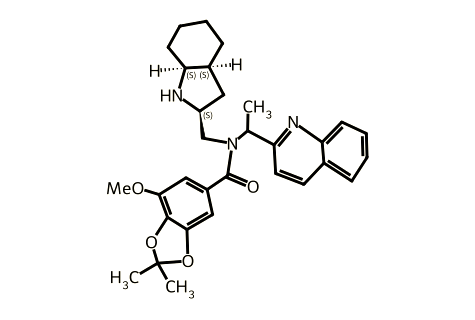 COc1cc(C(=O)N(C[C@@H]2C[C@@H]3CCCC[C@@H]3N2)C(C)c2ccc3ccccc3n2)cc2c1OC(C)(C)O2